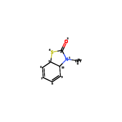 CCCN1C(=O)SC2C=CC=CC21